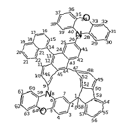 CC12c3ccc4c(c3)N(c3ccc5c(-c6cccc7ccccc67)c6cc(N7c8ccccc8Oc8ccccc87)ccc6c(c5c3)-c3ccc(c1c3)-c1ccccc12)c1ccccc1O4